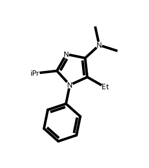 CCc1c(N(C)C)nc(C(C)C)n1-c1ccccc1